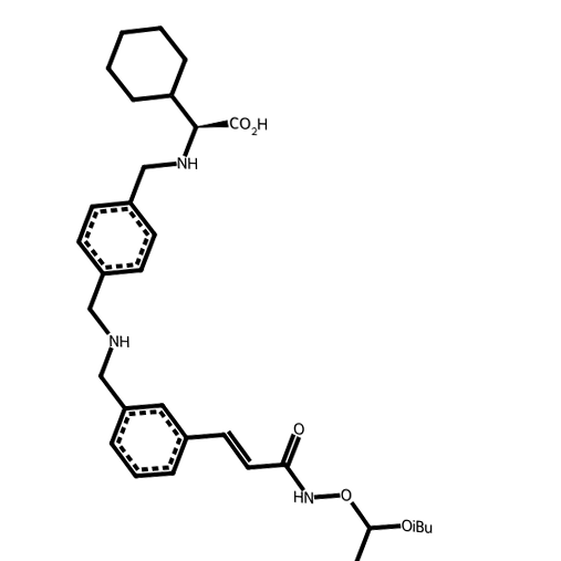 CC(C)COC(C)ONC(=O)/C=C/c1cccc(CNCc2ccc(CN[C@H](C(=O)O)C3CCCCC3)cc2)c1